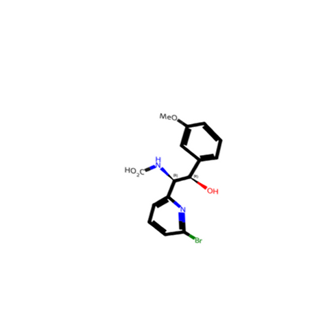 COc1cccc([C@@H](O)[C@H](NC(=O)O)c2cccc(Br)n2)c1